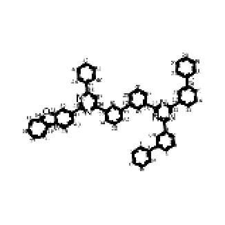 c1ccc(-c2cccc(-c3nc(-c4cccc(-c5ccccc5)c4)nc(-c4cccc(-c5cccc(-c6cc(-c7ccccc7)nc(-c7ccc8c(c7)oc7ccccc78)n6)c5)c4)n3)c2)cc1